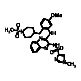 COc1ccc(CC2CCN(S(C)(=O)=O)CC2)c(Nc2nc3ccccc3nc2NS(=O)(=O)c2cn(C)cn2)c1